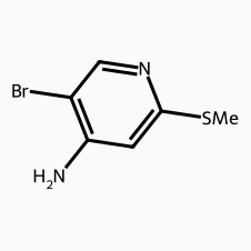 CSc1cc(N)c(Br)cn1